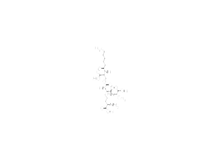 CCCCCCC(=O)NC(COC(=O)N[C@H](CCCC(N)C(=O)O)C(=O)N[C@H](C)C(=O)O)C(=O)O